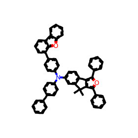 CC1(C)c2cc(N(c3ccc(-c4ccccc4)cc3)c3ccc(-c4cccc5c4oc4ccccc45)cc3)ccc2-c2c(-c3ccccc3)oc(-c3ccccc3)c21